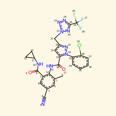 Cc1cc(C#N)cc(C(=O)NC2CC2)c1NC(=O)c1cc(Cn2nnc(C(F)(F)F)n2)nn1-c1ccccc1Cl